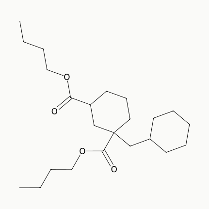 CCCCOC(=O)C1CCCC(CC2CCCCC2)(C(=O)OCCCC)C1